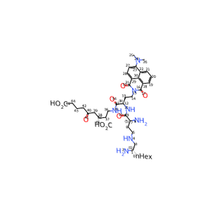 CCCCCC[C@H](N)CNCC[C@H](N)C(=O)N[C@H](CCN1C(=O)c2cccc3c(N(C)C)ccc(c23)C1=O)C(=O)NCC[C@@H](CC(=O)CCCC(=O)O)C(=O)O